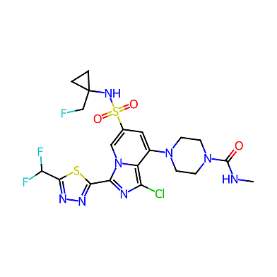 CNC(=O)N1CCN(c2cc(S(=O)(=O)NC3(CF)CC3)cn3c(-c4nnc(C(F)F)s4)nc(Cl)c23)CC1